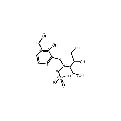 CC(CO)C(CO)N(Cc1cccc(CO)c1O)CP(=O)(O)O